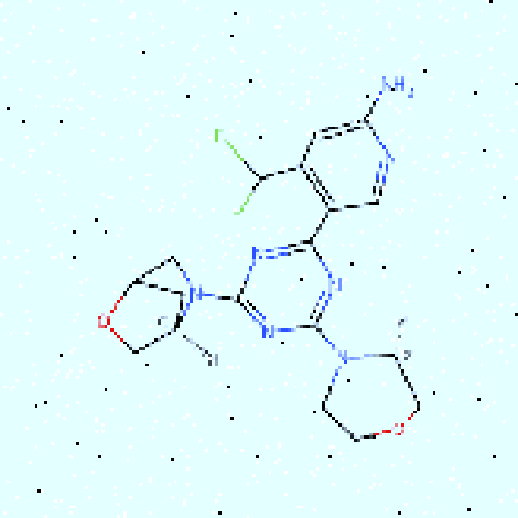 C[C@@H]1COCCN1c1nc(-c2cnc(N)cc2C(F)F)nc(N2CC3C[C@@H]2CO3)n1